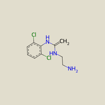 C=C(NCCN)Nc1c(Cl)cccc1Cl